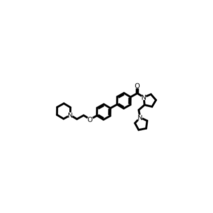 O=C(c1ccc(-c2ccc(OCCN3CCCCC3)cc2)cc1)N1CCCC1CN1CCCC1